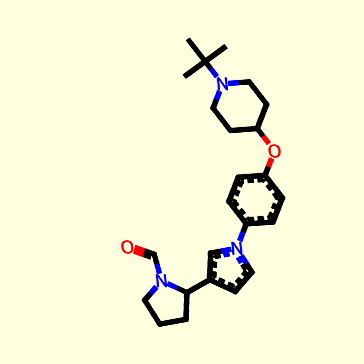 CC(C)(C)N1CCC(Oc2ccc(-n3ccc(C4CCCN4C=O)c3)cc2)CC1